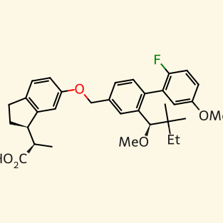 CCC(C)(C)[C@@H](OC)c1cc(COc2ccc3c(c2)[C@@H]([C@@H](C)C(=O)O)CC3)ccc1-c1cc(OC)ccc1F